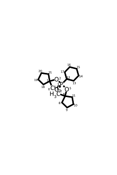 CC1(OP(=O)(OC2(C)CCCC2)C2CCCCC2)CCCC1